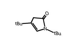 CC(C)(C)C1=CN(C(C)(C)C)C(=O)C1